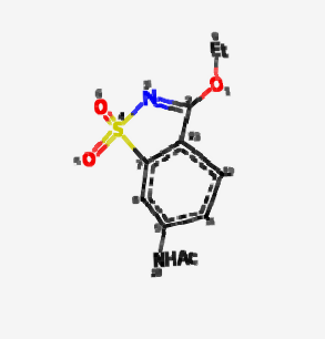 CCOC1=NS(=O)(=O)c2cc(NC(C)=O)ccc21